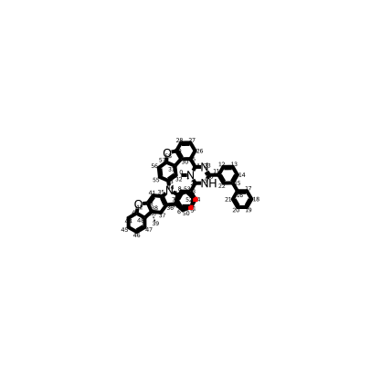 CN1C(c2ccccc2)NC(c2cccc(-c3ccccc3)c2)=NC1C1CC=CC2=C1C1C=C(N3C4=C(C[C@]5(C)C(=C4)OC4CCC=CC45)C4C=CCCC43)C=CC1O2